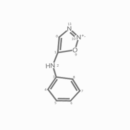 C1=C(Nc2ccccc2)O[N+]=N1